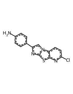 Nc1ccc(-c2cn3c(n2)sc2nc(Cl)ccc23)cc1